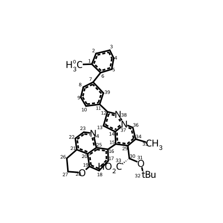 Cc1ccccc1-c1cccc(-c2cc3c(-c4ccc5c6c(ccnc46)CCO5)c([C@H](OC(C)(C)C)C(=O)O)c(C)cn3n2)c1